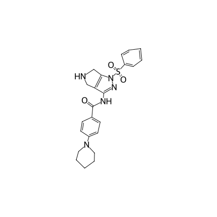 O=C(Nc1nn(S(=O)(=O)c2ccccc2)c2c1CNC2)c1ccc(N2CCCCC2)cc1